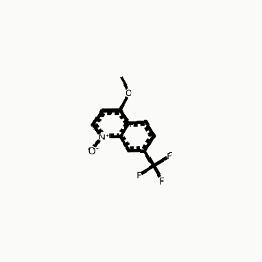 COc1cc[n+]([O-])c2cc(C(F)(F)F)ccc12